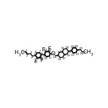 C/C=C/CCc1ccc(-c2ccc(OCC3CCC4CC(c5ccc(CCC)cc5)CCC4C3)c(F)c2F)c(F)c1F